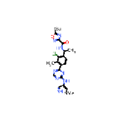 CN/C=C(\C=N)Nc1ncnc(-c2ccc(C(C)NC(=O)c3noc(C(C)(C)C)n3)c(Cl)c2C)n1